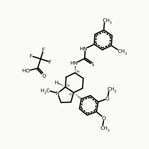 COc1ccc([C@@]23CC[C@@H](NC(=S)Nc4cc(C)cc(C)c4)C[C@@H]2N(C)CC3)cc1OC.O=C(O)C(F)(F)F